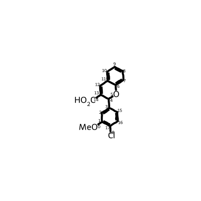 COc1cc(C2Oc3ccccc3C=C2C(=O)O)ccc1Cl